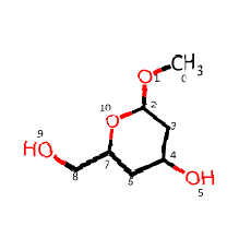 COC1CC(O)CC(CO)O1